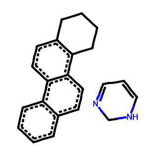 C1=CNCN=C1.c1ccc2c(c1)ccc1c3c(ccc12)CCCC3